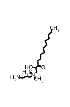 CCCCCCCCCCCC(=O)C(O)C[N+](C)(C)CCCN